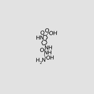 NC(O)CNC(=O)Nc1ccc2[nH]c(=O)c(C(=O)O)cc2c1